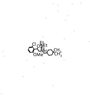 CC[Si](CC)(CC)OC(CNCC1CCC(C)(C)CC1)c1c(Cl)cccc1OC